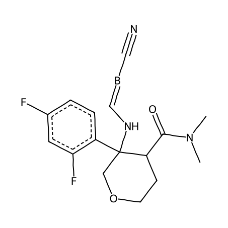 CN(C)C(=O)C1CCOCC1(NC=BC#N)c1ccc(F)cc1F